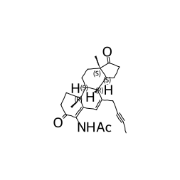 CC#CCC1=CC2=C(NC(C)=O)C(=O)CC[C@]2(C)[C@H]2CC[C@]3(C)C(=O)CC[C@H]3[C@H]12